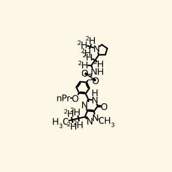 [2H]C(NS(=O)(=O)c1ccc(OCCC)c(-c2nc3c(C([2H])([2H])C([2H])([2H])C)nn(C)c3c(=O)[nH]2)c1)C([2H])([2H])C1CCCN1C([2H])([2H])[2H]